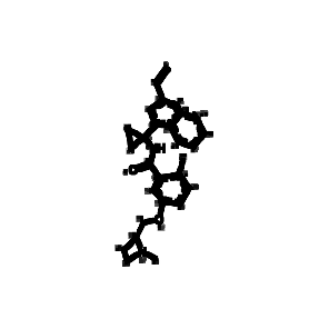 C=Cc1cc(C2(NC(=O)c3cc(OC[C@@H]4CCN4C)ccc3C)CC2)c2cccnc2c1